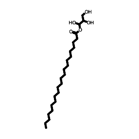 CCCCCCCCCCCCCCCCCCCCCC(=O)OC(O)C(O)CO